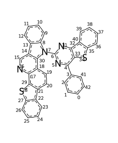 c1ccc(-c2nc(-n3c4ccccc4c4cnc5c(ccc6c7ccccc7sc65)c43)nc3c2sc2ccccc23)cc1